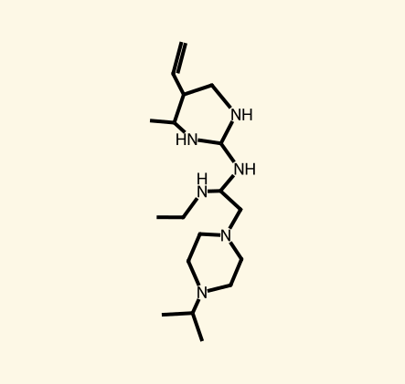 C=CC1CNC(NC(CN2CCN(C(C)C)CC2)NCC)NC1C